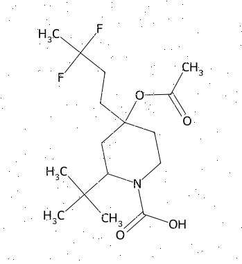 CC(=O)OC1(CCC(C)(F)F)CCN(C(=O)O)C(C(C)(C)C)C1